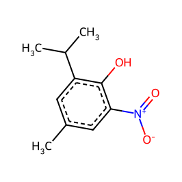 Cc1cc(C(C)C)c(O)c([N+](=O)[O-])c1